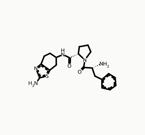 Nc1nc2c(s1)CC(NC(=O)[C@@H]1CCCN1C(=O)[C@H](N)Cc1ccccc1)CC2